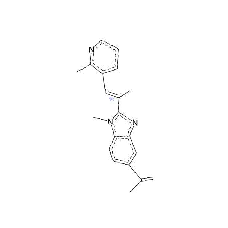 C=C(C)c1ccc2c(c1)nc(/C(C)=C/c1cccnc1C)n2C